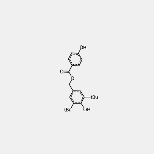 CC(C)(C)c1cc(COC(=O)c2ccc(O)cc2)cc(C(C)(C)C)c1O